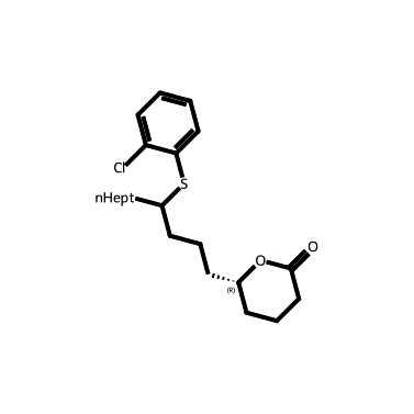 CCCCCCCC(CCC[C@H]1CCCC(=O)O1)Sc1ccccc1Cl